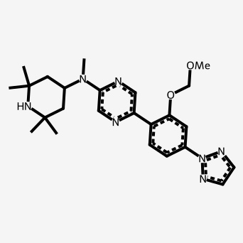 COCOc1cc(-n2nccn2)ccc1-c1cnc(N(C)C2CC(C)(C)NC(C)(C)C2)cn1